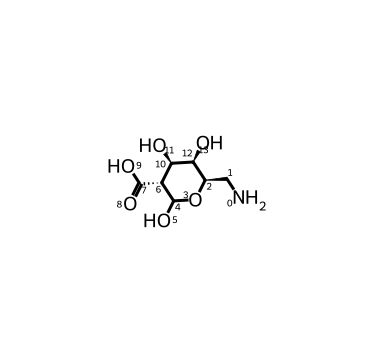 NC[C@H]1OC(O)[C@H](C(=O)O)[C@@H](O)[C@H]1O